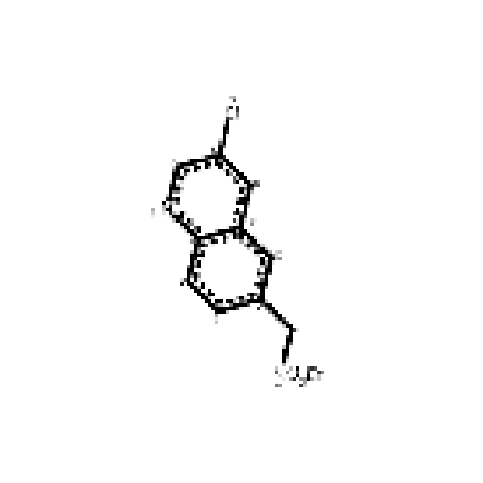 CCOC(=O)Cc1ccc2ncc(Cl)cc2c1